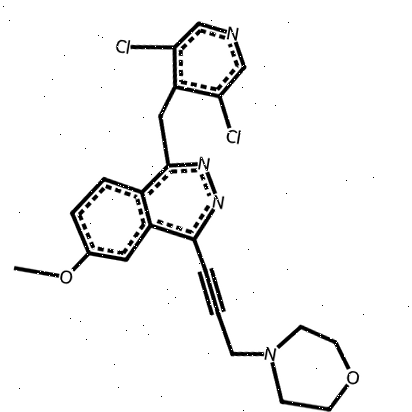 COc1ccc2c(Cc3c(Cl)cncc3Cl)nnc(C#CCN3CCOCC3)c2c1